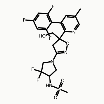 Cc1cnc(C2(CO)CC(N3C[C@@H](NS(C)(=O)=O)C(F)(F)C3)=NO2)c(-c2c(F)cc(F)cc2F)c1